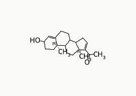 CC(=O)C1=CCC2C3CCC4=CC(O)CC[C@]4(C)C3CC[C@]12C